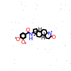 COc1ccc(C(=O)NC2CC[C@H]3[C@@H]4CCC5N(C)C(=O)CC[C@]5(C)[C@@H]4CC[C@]23C)cc1OC